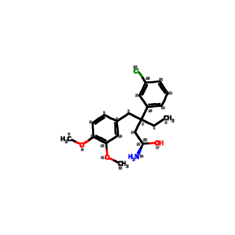 CCC(Cc1ccc(OC)c(OC)c1)(C[C@H](N)O)c1cccc(Cl)c1